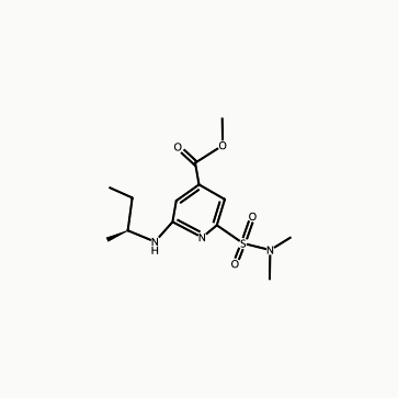 CC[C@H](C)Nc1cc(C(=O)OC)cc(S(=O)(=O)N(C)C)n1